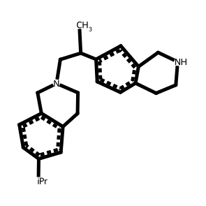 CC(C)c1ccc2c(c1)CCN(CC(C)c1ccc3c(c1)CNCC3)C2